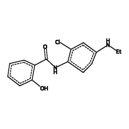 CCNc1ccc(NC(=O)c2ccccc2O)c(Cl)c1